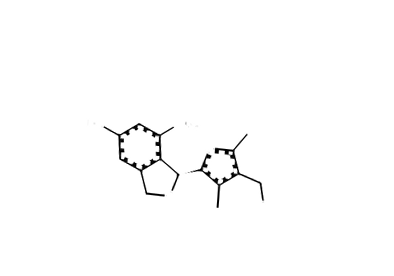 COc1cc(O)cc2c1[C@@H](c1oc(C)c(CO)c1C)OC2